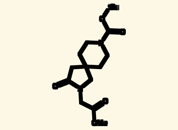 COC(=O)CN1CC2(CCN(C(=O)OC(C)(C)C)CC2)CC1=O